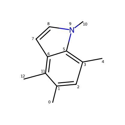 Cc1cc(C)c2c(ccn2C)c1C